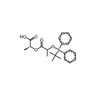 CC(O[Si](c1ccccc1)(c1ccccc1)C(C)(C)C)C(=O)O[C@@H](C)C(=O)O